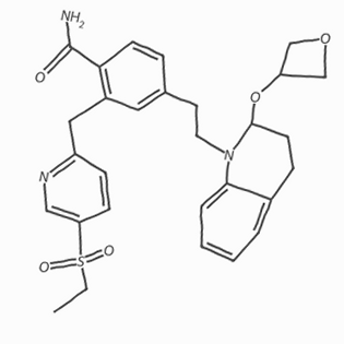 CCS(=O)(=O)c1ccc(Cc2cc(CCN3c4ccccc4CCC3OC3COC3)ccc2C(N)=O)nc1